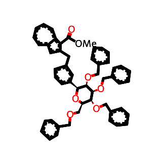 COC(=O)c1c(Cc2cccc([C@@H]3O[C@H](COCc4ccccc4)[C@@H](OCc4ccccc4)[C@H](OCc4ccccc4)[C@H]3OCc3ccccc3)c2)cc2cccccc1-2